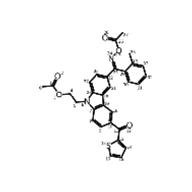 CC(=O)OCCn1c2ccc(C(=O)c3cccs3)cc2c2cc(/C(=N/OC(C)=O)c3ccccc3C)ccc21